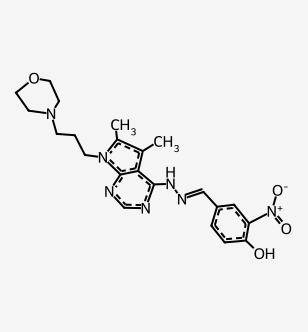 Cc1c(C)n(CCCN2CCOCC2)c2ncnc(NN=Cc3ccc(O)c([N+](=O)[O-])c3)c12